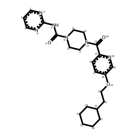 O=C(Nc1ncccn1)N1CCN(C(=O)c2ccc(OCCC3CCCCC3)cn2)CC1